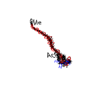 COCCOCCOCCOCCOCCOCCOCCOCCOCCOCCOCCOc1ccc(C[C@@H](C(=O)N[C@H](C(=O)N[C@@H](C)C(=O)Nc2ccc(COC(C)=O)cc2)C(C)C)N2C(=O)C=CC2=O)cc1